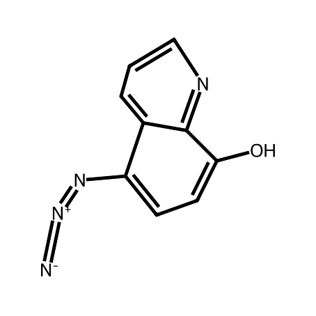 [N-]=[N+]=Nc1ccc(O)c2ncccc12